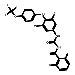 O=C(NC(=O)c1c(F)cccc1F)Nc1cc(Cl)c(Nc2ccc(OC(F)(F)F)cc2)c(Cl)c1